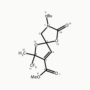 CCCCN1CC2(C=C(C(=O)OC)C(C)(C(F)(F)F)O2)OC1=O